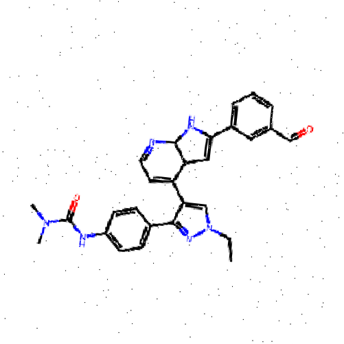 CCn1cc(C2=CC=NC3NC(c4cccc(C=O)c4)=CC23)c(-c2ccc(NC(=O)N(C)C)cc2)n1